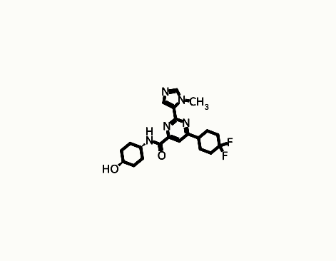 Cn1cncc1-c1nc(C(=O)N[C@H]2CC[C@H](O)CC2)cc(C2CCC(F)(F)CC2)n1